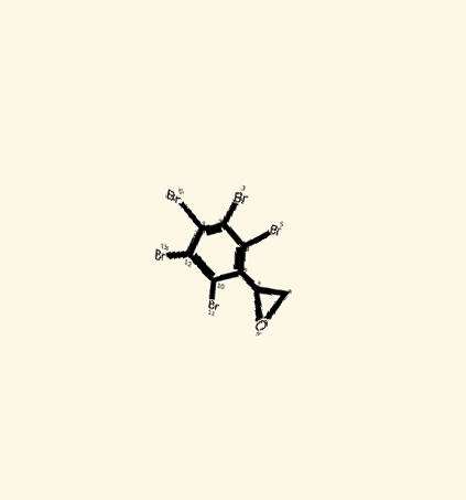 Brc1c(Br)c(Br)c(C2CO2)c(Br)c1Br